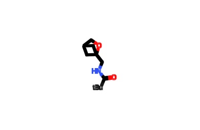 CC(C)(C)C(=O)NCC12CC(CO1)C2